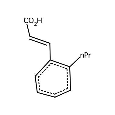 CCCc1ccccc1/C=C/C(=O)O